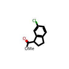 COC(=O)C1CCc2ccc(Cl)cc21